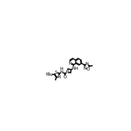 Cc1nc(-c2ccc3ccnc(NC4CN(C(=O)Nc5nc(C)c(C(C)(C)C)s5)C4)c3c2)no1